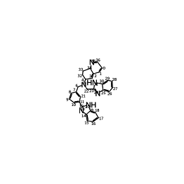 C1=CC2=CC(N(Cc3cccc(-c4nc5ccccc5[nH]4)c3)Cc3nc4ccccc4[nH]3)CCC2N=C1